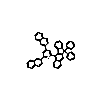 c1ccc(C2(c3ccccc3)c3ccccc3-c3c2cc2ccccc2c3-c2cc(-c3ccc4ccccc4c3)cc(-c3ccc4ccccc4c3)n2)cc1